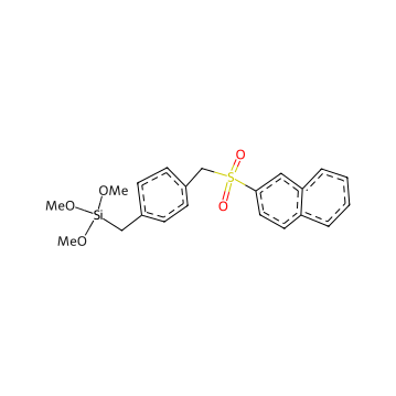 CO[Si](Cc1ccc(CS(=O)(=O)c2ccc3ccccc3c2)cc1)(OC)OC